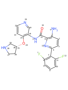 Nc1ccc(-c2c(F)cccc2F)nc1C(=O)Nc1cnccc1O[C@@H]1CCNC1